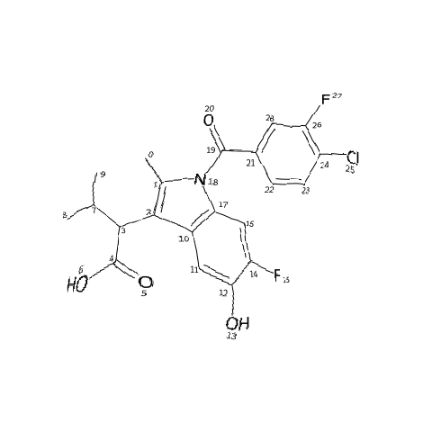 Cc1c(C(C(=O)O)C(C)C)c2cc(O)c(F)cc2n1C(=O)c1ccc(Cl)c(F)c1